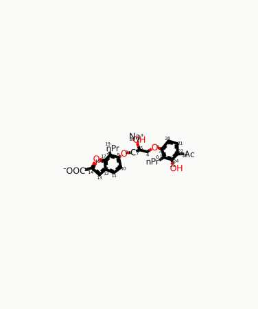 CCCc1c(OCC(O)COc2ccc3cc(C(=O)[O-])oc3c2CCC)ccc(C(C)=O)c1O.[Na+]